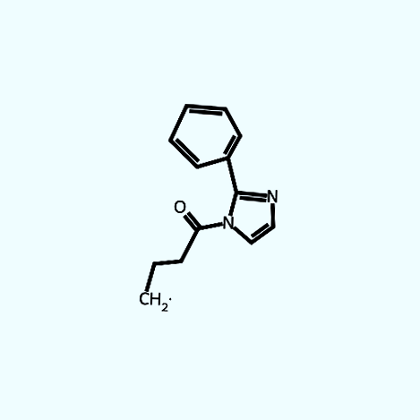 [CH2]CCC(=O)n1ccnc1-c1ccccc1